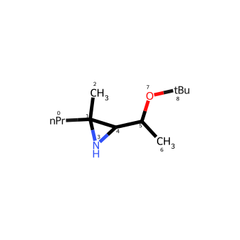 CCCC1(C)NC1C(C)OC(C)(C)C